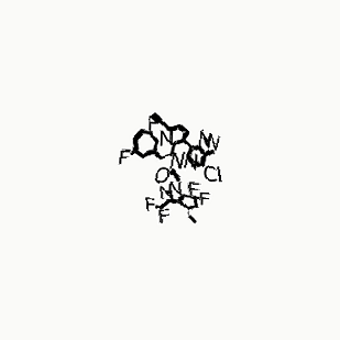 C#Cc1ccc(-c2ccc(Cl)c3cnn(C)c23)c([C@H](CC2=CC(F)=C=CC(F)C2)NC(=O)Cn2nc(C(F)F)c3c2C(F)(F)C[C@@H]3C=C)n1